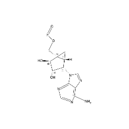 Nc1ncnc2c1ncn2[C@@H]1[C@H](O)[C@@H](O)[C@@]2(COP=O)C[C@H]12